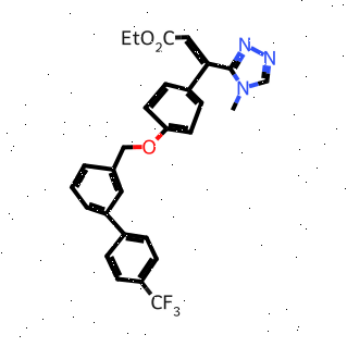 CCOC(=O)/C=C(\c1ccc(OCc2cccc(-c3ccc(C(F)(F)F)cc3)c2)cc1)c1nncn1C